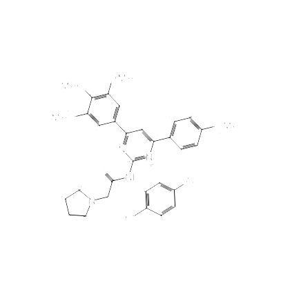 CC(=O)c1ccc(Cl)cc1.COc1ccc(-c2cc(-c3cc(OC)c(OC)c(OC)c3)nc(NC(=O)CN3CCCC3)n2)cc1